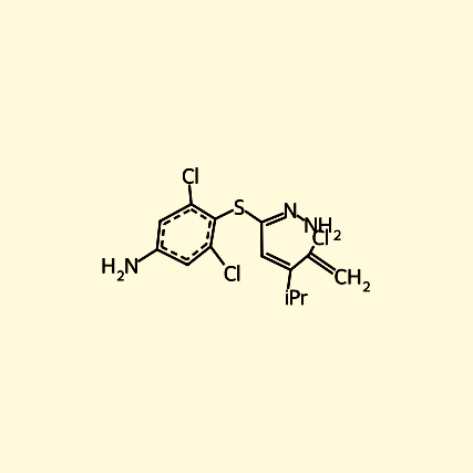 C=C(Cl)/C(=C\C(=N/N)Sc1c(Cl)cc(N)cc1Cl)C(C)C